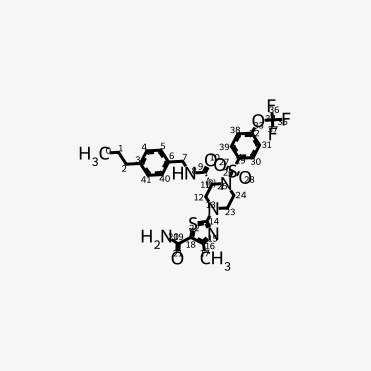 CCCc1ccc(CNC(=O)[C@H]2CN(c3nc(C)c(C(N)=O)s3)CCN2S(=O)(=O)c2ccc(OC(F)(F)F)cc2)cc1